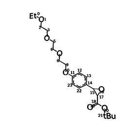 CCOCCOCCOCCOc1ccc(C2OC2C(=O)OC(C)(C)C)cc1